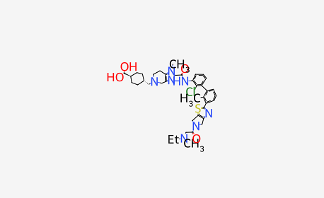 CCN(C)CC(=O)N1Cc2nc(-c3cccc(-c4cccc(NC(=O)c5nc6c(n5C)CCN(C[C@H]5CC[C@H](C(O)O)CC5)C6)c4Cl)c3C)sc2C1